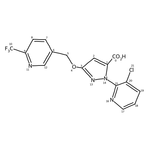 O=C(O)c1cc(OCc2ccc(C(F)(F)F)nc2)nn1-c1ncccc1Cl